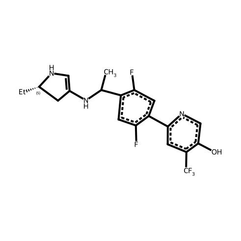 CC[C@H]1CC(NC(C)c2cc(F)c(-c3cc(C(F)(F)F)c(O)cn3)cc2F)=CN1